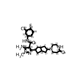 Cn1nc(C2CC3CC(N4CCNC(=O)CC4)CC3C2)c(C(=O)Nc2ccc(F)c(Cl)c2)c1N